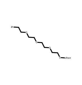 CCCCCOCCOCCOCCOCCC(C)C